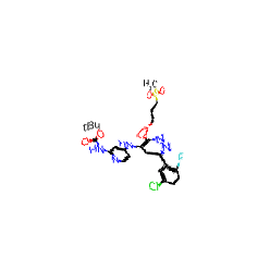 CC(C)(C)OC(=O)Nc1cc(Nc2cc(-c3cc(Cl)ccc3F)nnc2OCCCS(C)(=O)=O)ccn1